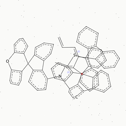 C=C/C=C1\C(=C(/C)N(c2cccc3c2-c2ccccc2C32c3ccccc3Oc3ccccc32)c2cccc3c2C2(c4ccccc4Sc4ccccc42)c2ccccc2-3)c2ccccc2C12c1ccccc1-c1ccccc12